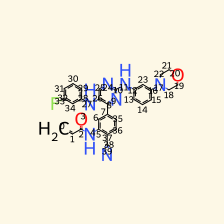 C=CC(=O)Nc1cc(-c2nc(Nc3cccc(N4CCOCC4)c3)ncc2Nc2cccc(F)c2)ccc1C#N